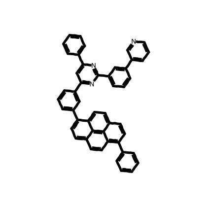 c1ccc(-c2cc(-c3cccc(-c4ccc5ccc6c(-c7ccccc7)ccc7ccc4c5c76)c3)nc(-c3cccc(-c4cccnc4)c3)n2)cc1